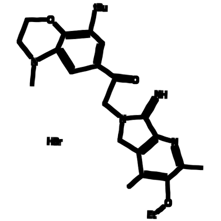 Br.CCOc1c(C)nc2c(c1C)CN(CC(=O)c1cc3c(c(C(C)(C)C)c1)OCCN3C)C2=N